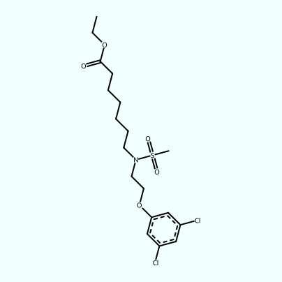 CCOC(=O)CCCCCCN(CCOc1cc(Cl)cc(Cl)c1)S(C)(=O)=O